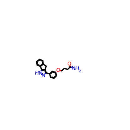 NC(=O)CCCOc1cccc(-c2n[nH]c3c2Cc2ccccc2-3)c1